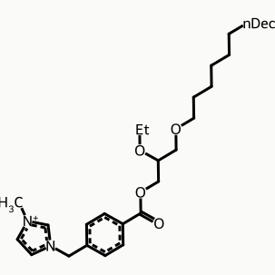 CCCCCCCCCCCCCCCCOCC(COC(=O)c1ccc(Cn2cc[n+](C)c2)cc1)OCC